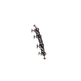 CC1=C(/C=C/C(C)=C/C=C/C(C)=C/C(=O)NCCCOCCOCCOCCCNC(=O)CCOCCOCCOCCOCCOCCC(=O)NCCCOCCOCCOCCCNC(=O)/C=C(C)/C=C/C=C(C)/C=C/C2=C(C)CCCC2(C)C)C(C)(C)CCC1